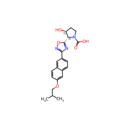 CC(C)COc1ccc2cc(-c3noc([C@@H]4[C@@H](O)CCN4C(=O)O)n3)ccc2c1